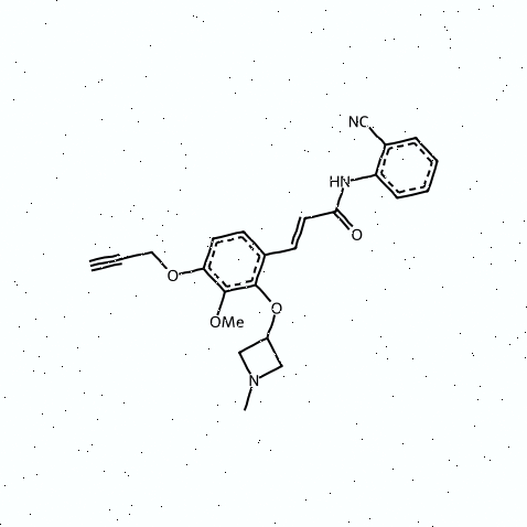 C#CCOc1ccc(/C=C/C(=O)Nc2ccccc2C#N)c(OC2CN(C)C2)c1OC